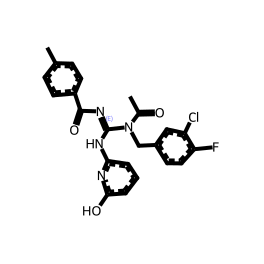 CC(=O)N(Cc1ccc(F)c(Cl)c1)/C(=N/C(=O)c1ccc(C)cc1)Nc1cccc(O)n1